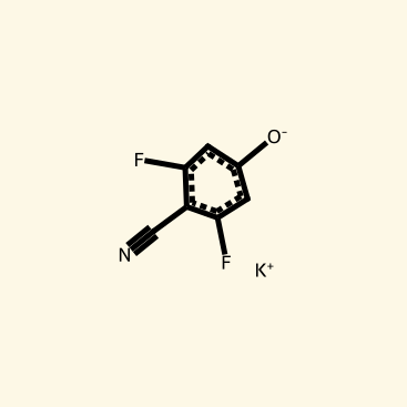 N#Cc1c(F)cc([O-])cc1F.[K+]